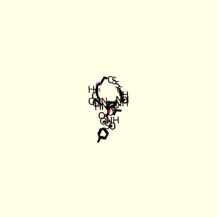 Cc1ccc(S(=O)(=O)NC(=O)CC[C@H]2NC(=O)C[C@@H]3/C=C/CCSSC[C@@H](NC2=O)C(=O)N[C@H](C(C)C)C(=O)NCC(=O)O3)cc1